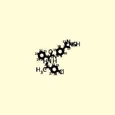 CC(CNC(C(=O)Nc1ccc(-c2cnn(S)c2)cc1)c1ccccc1)c1ccc(Cl)cc1